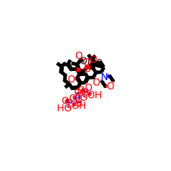 COC(=O)/C(C)=C\CC12OC(C)(C)C3CC(C1=O)C(N1CCOCC1)C1C(=O)c4c(OP(=O)(O)OP(=O)(O)OP(=O)(O)O)c5c(c(CC=C(C)C)c4OC132)OC(C)(CCC=C(C)C)C=C5